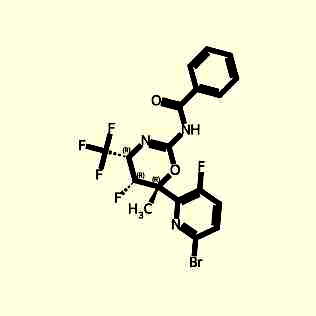 C[C@]1(c2nc(Br)ccc2F)OC(NC(=O)c2ccccc2)=N[C@@H](C(F)(F)F)[C@H]1F